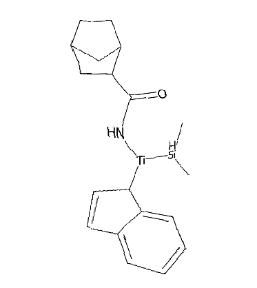 C[SiH](C)[Ti]([NH]C(=O)C1CC2CCC1C2)[CH]1C=Cc2ccccc21